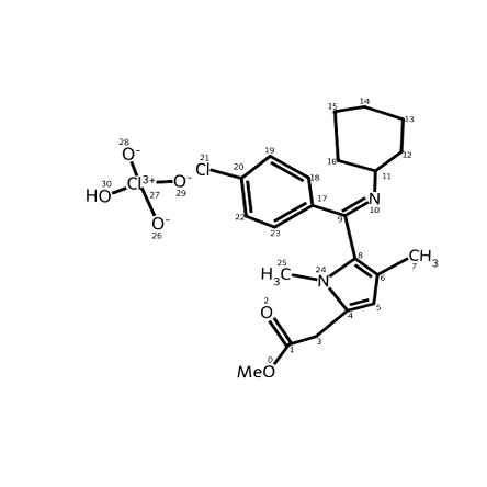 COC(=O)Cc1cc(C)c(C(=NC2CCCCC2)c2ccc(Cl)cc2)n1C.[O-][Cl+3]([O-])([O-])O